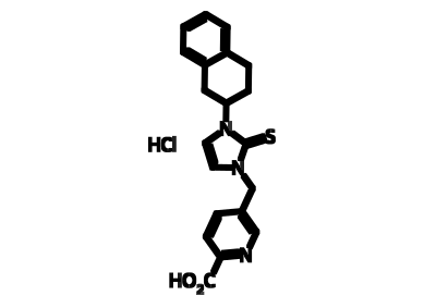 Cl.O=C(O)c1ccc(Cn2ccn(C3CCc4ccccc4C3)c2=S)cn1